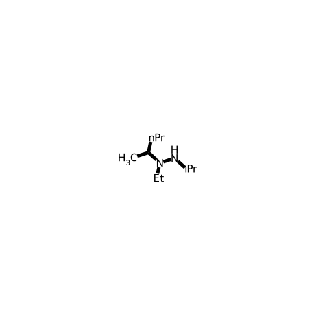 CCCC(C)N(CC)NC(C)C